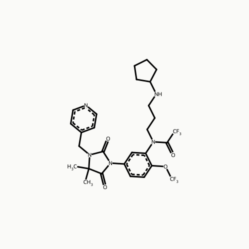 CC1(C)C(=O)N(c2ccc(OC(F)(F)F)c(N(CCCNC3CCCC3)C(=O)C(F)(F)F)c2)C(=O)N1Cc1ccncc1